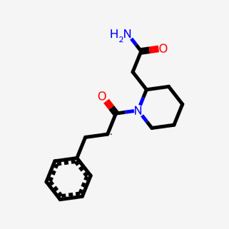 NC(=O)CC1CCCCN1C(=O)[CH]Cc1ccccc1